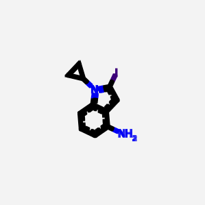 Nc1cccc2c1cc(I)n2C1CC1